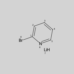 Brc1ccccn1.[LiH]